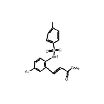 COC(=O)/C=C/c1cc(C(C)=O)ccc1NS(=O)(=O)c1ccc(C)cc1